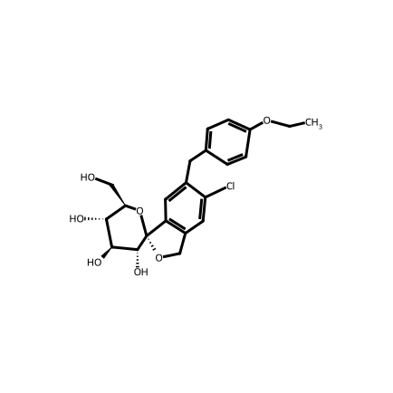 CCOc1ccc(Cc2cc3c(cc2Cl)CO[C@]32O[C@H](CO)[C@@H](O)[C@H](O)[C@H]2O)cc1